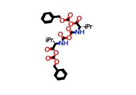 CC(C)[C@H](NC(=O)OC(=O)N[C@H](C(=O)OC(=O)OCc1ccccc1)C(C)C)C(=O)OC(=O)OCc1ccccc1